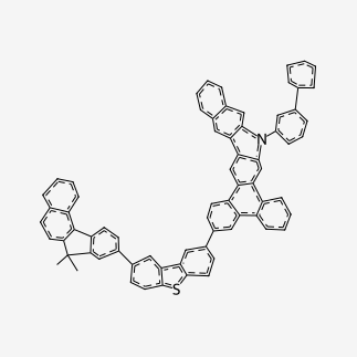 CC1(C)c2cc(-c3ccc4sc5ccc(-c6ccc7c(c6)c6ccccc6c6cc8c(cc76)c6cc7ccccc7cc6n8-c6cccc(-c7ccccc7)c6)cc5c4c3)ccc2-c2c1ccc1ccccc21